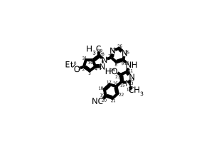 CCOC1=Cc2nn(-c3cc(Nc4nn(C)c(-c5ccc(C#N)cc5)c4O)ncn3)c(C)c2C1